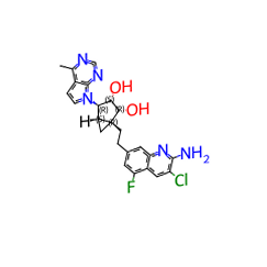 Cc1ncnc2c1ccn2[C@H]1[C@H](O)[C@H](O)[C@]2(CCc3cc(F)c4cc(Cl)c(N)nc4c3)C[C@H]12